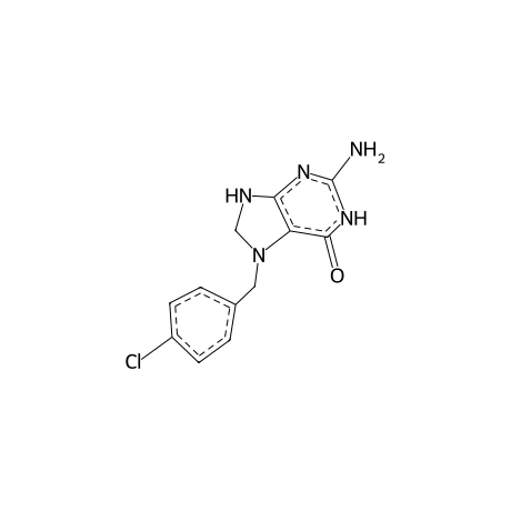 Nc1nc2c(c(=O)[nH]1)N(Cc1ccc(Cl)cc1)CN2